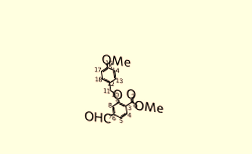 COC(=O)c1ccc(C=O)cc1OCc1ccc(OC)cc1